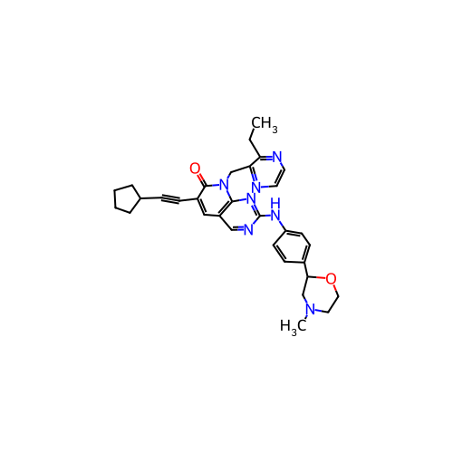 CCc1nccnc1Cn1c(=O)c(C#CC2CCCC2)cc2cnc(Nc3ccc(C4CN(C)CCO4)cc3)nc21